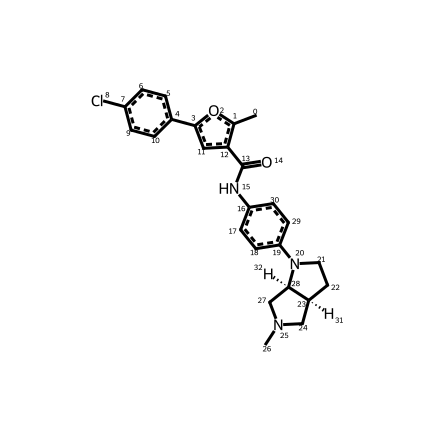 Cc1oc(-c2ccc(Cl)cc2)cc1C(=O)Nc1ccc(N2CC[C@H]3CN(C)C[C@H]32)cc1